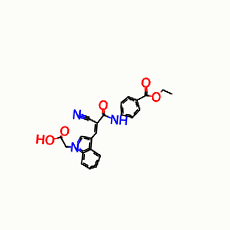 CCOC(=O)c1ccc(NC(=O)/C(C#N)=C/c2cn(CC(=O)O)c3ccccc23)cc1